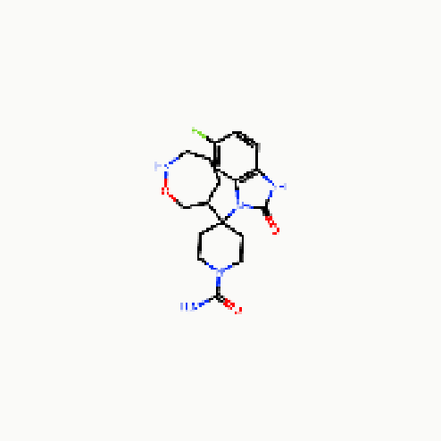 NC(=O)N1CCC(C2CCCNOC2)(n2c(=O)[nH]c3ccc(F)cc32)CC1